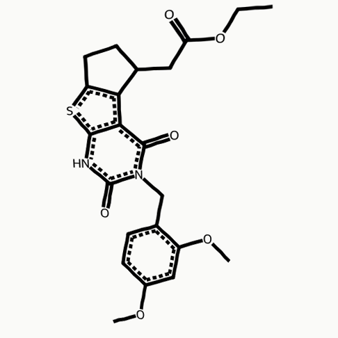 CCOC(=O)CC1CCc2sc3[nH]c(=O)n(Cc4ccc(OC)cc4OC)c(=O)c3c21